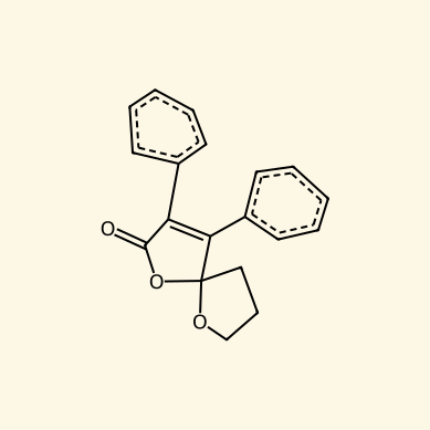 O=C1OC2(CCCO2)C(c2ccccc2)=C1c1ccccc1